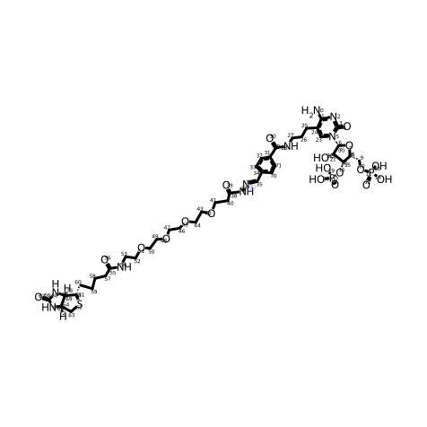 Nc1nc(=O)n([C@@H]2O[C@H](COP(=O)(O)O)[C@H](OP(=O)(O)O)[C@@H]2O)cc1CCCNC(=O)c1ccc(/C=N/NC(=O)CCOCCOCCOCCOCCNC(=O)CCCC[C@@H]2SC[C@@H]3NC(=O)N[C@@H]32)cc1